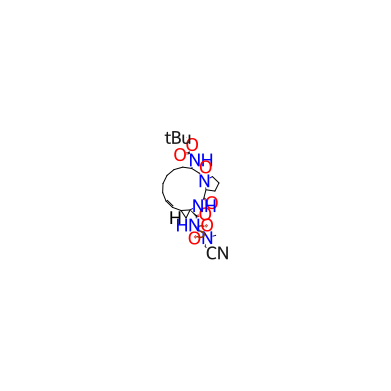 CN(CC#N)S(=O)(=O)NC(=O)[C@@]12C[C@H]1/C=C\CCCCC[C@H](NC(=O)OC(C)(C)C)C(=O)N1CCCC1C(=O)N2